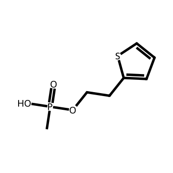 CP(=O)(O)OCCc1cccs1